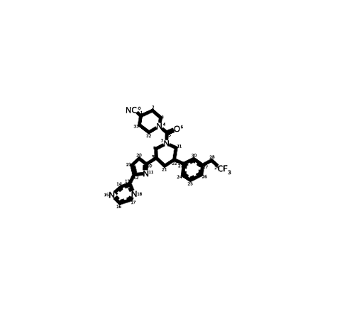 N#CC1CCN(C(=O)N2CC(C3=NC(c4cnccn4)=CC3)CC(c3cccc(CC(F)(F)F)c3)C2)CC1